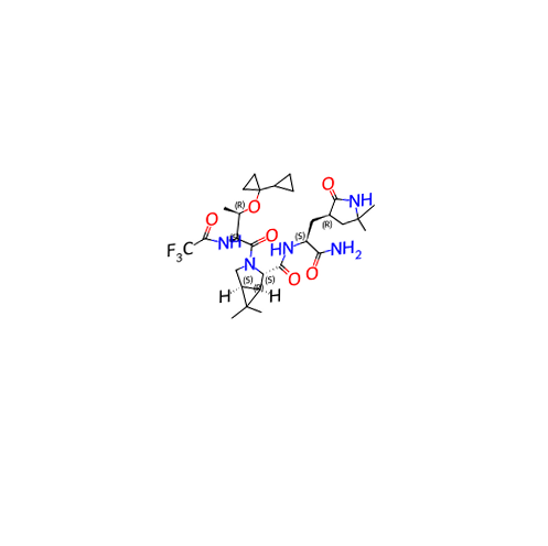 C[C@@H](OC1(C2CC2)CC1)[C@H](NC(=O)C(F)(F)F)C(=O)N1C[C@H]2[C@@H]([C@H]1C(=O)N[C@@H](C[C@@H]1CC(C)(C)NC1=O)C(N)=O)C2(C)C